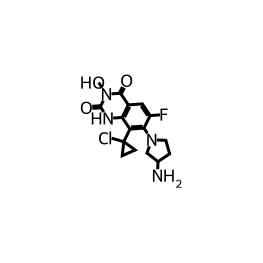 NC1CCN(c2c(F)cc3c(=O)n(O)c(=O)[nH]c3c2C2(Cl)CC2)C1